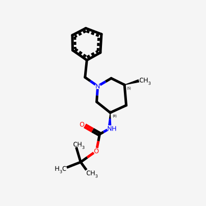 C[C@H]1C[C@@H](NC(=O)OC(C)(C)C)CN(Cc2ccccc2)C1